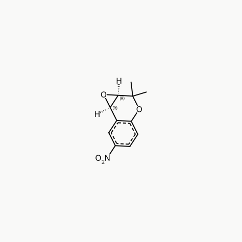 CC1(C)Oc2ccc([N+](=O)[O-])cc2[C@H]2O[C@H]21